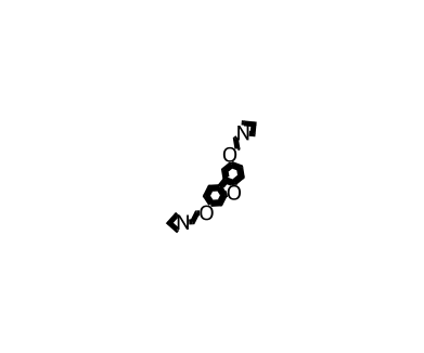 c1cc2c(cc1OCCN1CCC1)oc1ccc(OCCN3CCC3)cc12